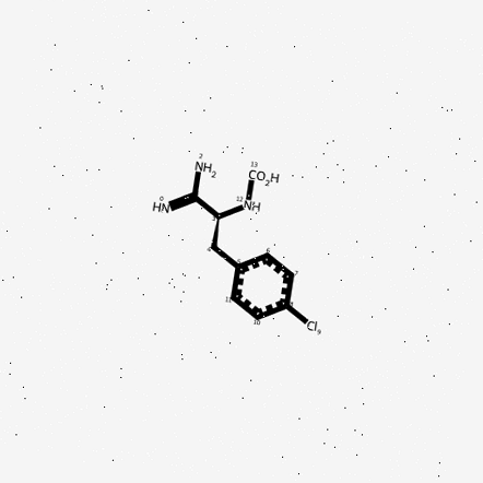 N=C(N)[C@H](Cc1ccc(Cl)cc1)NC(=O)O